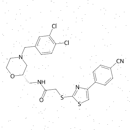 N#Cc1ccc(-c2csc(SCC(=O)NC[C@H]3CN(Cc4ccc(Cl)c(Cl)c4)CCO3)n2)cc1